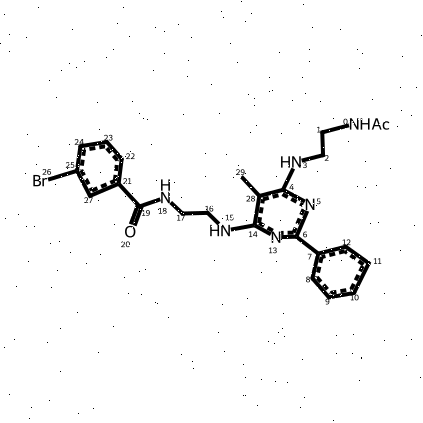 CC(=O)NCCNc1nc(-c2ccccc2)nc(NCCNC(=O)c2cccc(Br)c2)c1C